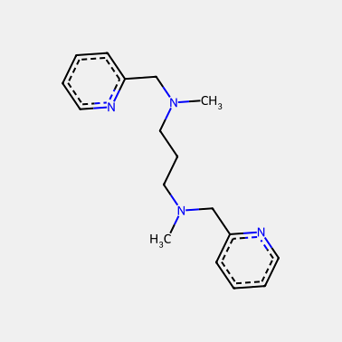 CN(CCCN(C)Cc1ccccn1)Cc1ccccn1